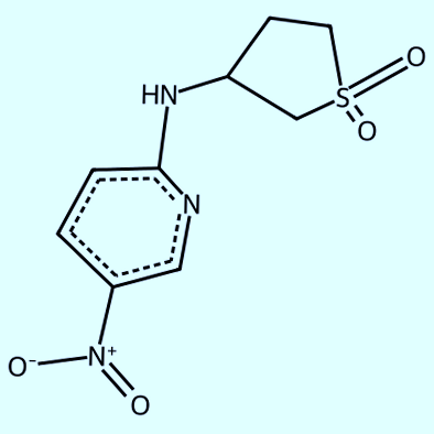 O=[N+]([O-])c1ccc(NC2CCS(=O)(=O)C2)nc1